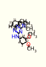 COc1ccc(N/C(N=C(N(C)C)N(C)C)=N/C2=CC(C)CC=C2)cc1OC